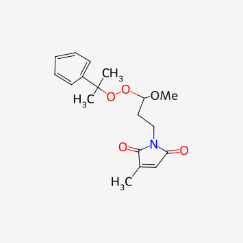 COC(CCN1C(=O)C=C(C)C1=O)OOC(C)(C)c1ccccc1